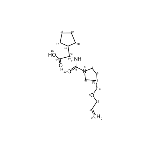 C=CCOC[C@H]1CCN(C(=O)N[C@H](C(=O)O)C2CCCC2)C1